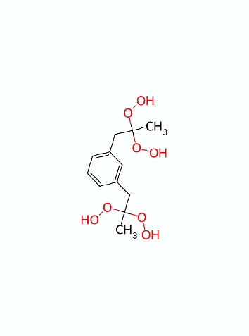 CC(Cc1cccc(CC(C)(OO)OO)c1)(OO)OO